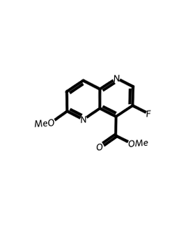 COC(=O)c1c(F)cnc2ccc(OC)nc12